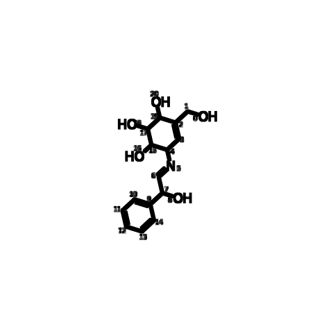 OCC1=CC(N=CC(O)c2ccccc2)C(O)C(O)C1O